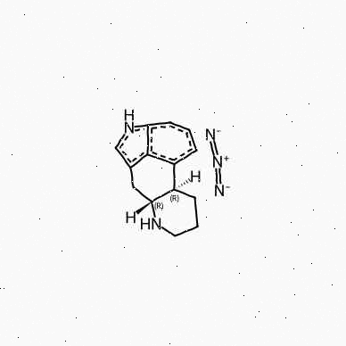 [N-]=[N+]=[N-].c1cc2c3c(c[nH]c3c1)C[C@H]1NCCC[C@H]21